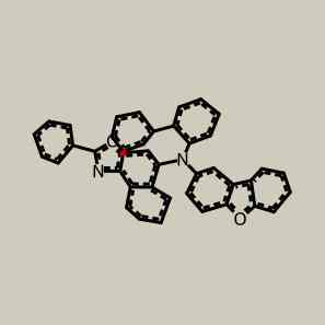 c1ccc(-c2nc3c(cc(N(c4ccc5oc6ccccc6c5c4)c4ccccc4-c4ccccc4)c4ccccc43)o2)cc1